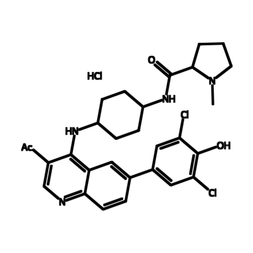 CC(=O)c1cnc2ccc(-c3cc(Cl)c(O)c(Cl)c3)cc2c1NC1CCC(NC(=O)C2CCCN2C)CC1.Cl